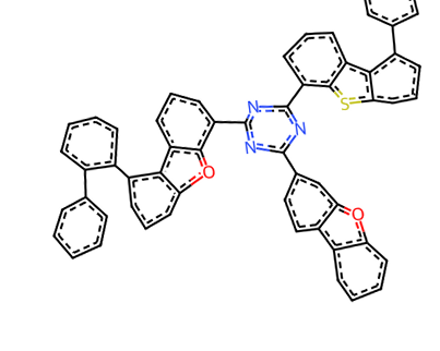 c1ccc(-c2ccccc2-c2cccc3oc4c(-c5nc(-c6ccc7c(c6)oc6ccccc67)nc(-c6cccc7c6sc6cccc(-c8ccccc8)c67)n5)cccc4c23)cc1